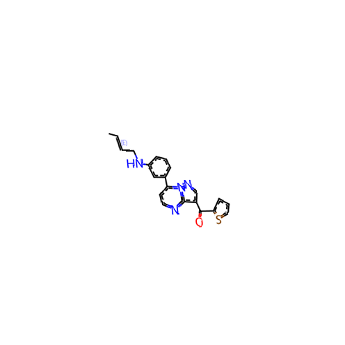 C/C=C/CNc1cccc(-c2ccnc3c(C(=O)c4cccs4)cnn23)c1